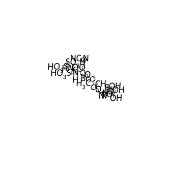 Cc1c(COc2cc(OCc3cncc(C#N)c3)c(CN[C@H](CS(=O)(=O)O)C(=O)NCC(S(=O)(=O)O)S(=O)(=O)O)cc2Br)cccc1-c1cccc(OCc2cn([C@@H]3O[C@H](CO)[C@@H](O)[C@H](O)[C@H]3F)nn2)c1C